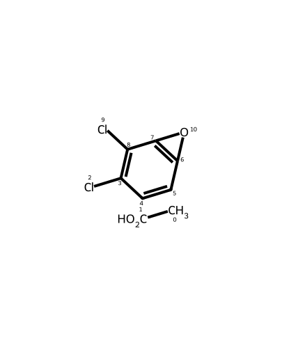 CC(=O)O.Clc1ccc2c(c1Cl)O2